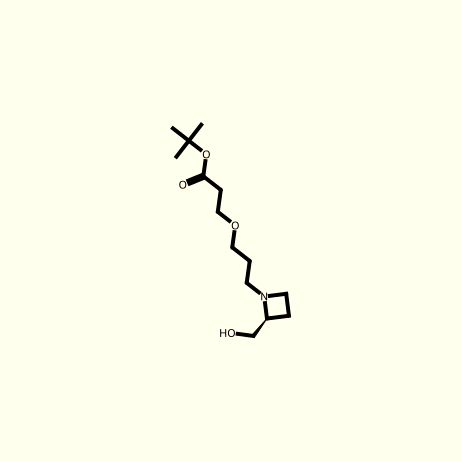 CC(C)(C)OC(=O)CCOCCCN1CC[C@H]1CO